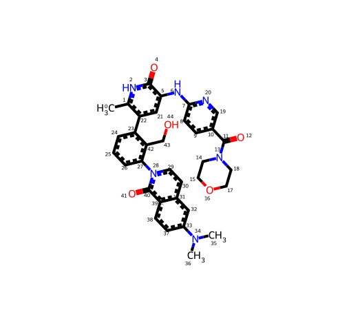 Cc1[nH]c(=O)c(Nc2ccc(C(=O)N3CCOCC3)cn2)cc1-c1cccc(-n2ccc3cc(N(C)C)ccc3c2=O)c1CO